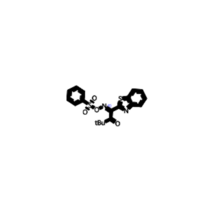 CC(C)(C)C(=O)/C(=N\OS(=O)(=O)c1ccccc1)c1nc2ccccc2s1